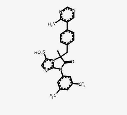 CC1(Cc2ccc(-c3cncnc3N)cc2)C(=O)N(c2cc(C(F)(F)F)cc(C(F)(F)F)c2)c2ncc(S(=O)(=O)O)n21